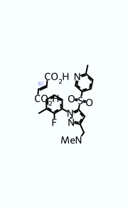 CNCc1cc(S(=O)(=O)c2ccc(C)nc2)n(-c2cccc(C)c2F)n1.O=C(O)/C=C/C(=O)O